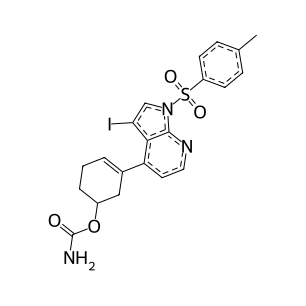 Cc1ccc(S(=O)(=O)n2cc(I)c3c(C4=CCCC(OC(N)=O)C4)ccnc32)cc1